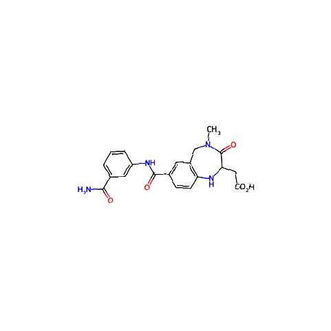 CN1Cc2cc(C(=O)Nc3cccc(C(N)=O)c3)ccc2NC(CC(=O)O)C1=O